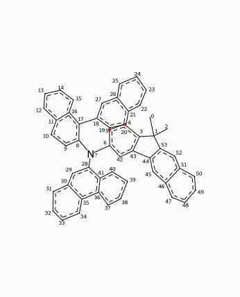 CC1(C)c2ccc(N(c3ccc4ccccc4c3-c3ccc4ccccc4c3)c3cc4ccccc4c4ccccc34)cc2-c2cc3ccccc3cc21